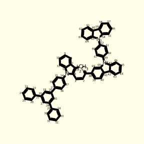 C=C(/C=C\c1c(C)c2ccccc2n1-c1ccc(-c2cc(-c3ccccc3)cc(-c3ccccc3)c2)cc1)c1ccc2c3ccccc3n(-c3ccc(-n4c5ccccc5c5ccccc54)cc3)c2c1